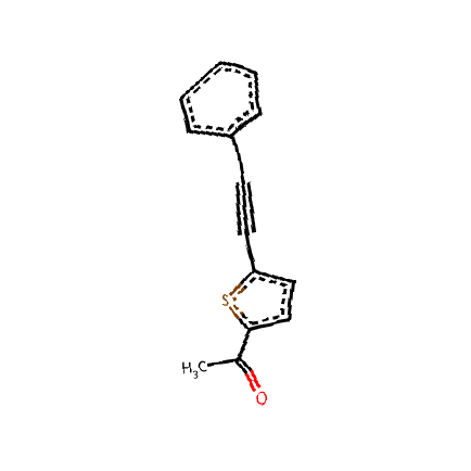 CC(=O)c1ccc(C#Cc2ccccc2)s1